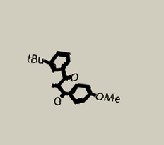 COc1ccc(C(=O)C(C)C(=O)c2cccc(C(C)(C)C)c2)cc1